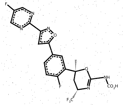 C[C@@]1(c2cc(-c3cc(-c4ncc(F)cn4)no3)ccc2F)C[C@@H](C(F)(F)F)N=C(NC(=O)O)O1